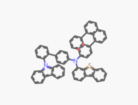 c1ccc(-c2cccc3cccc(-c4ccc(N(c5ccc(-c6ccccc6-n6c7ccccc7c7ccccc76)cc5)c5cccc6c5sc5ccccc56)cc4)c23)cc1